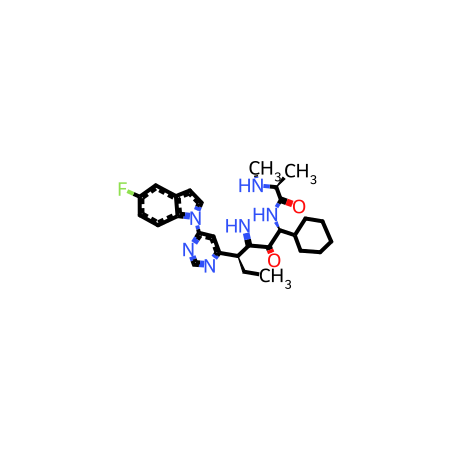 CC[C@H](C(=N)C(=O)[C@@H](NC(=O)[C@H](C)NC)C1CCCCC1)c1cc(-n2ccc3cc(F)ccc32)ncn1